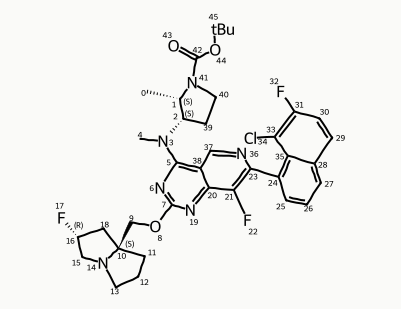 C[C@H]1[C@@H](N(C)c2nc(OC[C@@]34CCCN3C[C@H](F)C4)nc3c(F)c(-c4cccc5ccc(F)c(Cl)c45)ncc23)CCN1C(=O)OC(C)(C)C